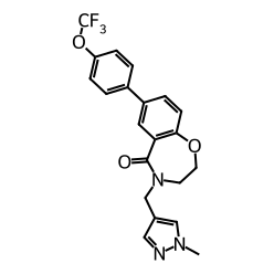 Cn1cc(CN2CCOc3ccc(-c4ccc(OC(F)(F)F)cc4)cc3C2=O)cn1